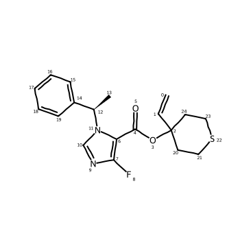 C=CC1(OC(=O)c2c(F)ncn2[C@H](C)c2ccccc2)CCSCC1